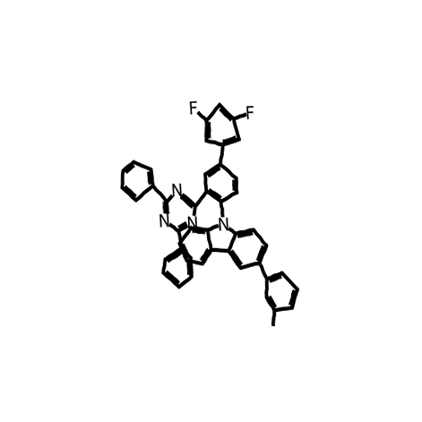 Cc1cccc(-c2ccc3c(c2)c2ccccc2n3-c2ccc(-c3cc(F)cc(F)c3)cc2-c2nc(-c3ccccc3)nc(-c3ccccc3)n2)c1